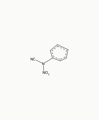 N#CN(c1ccccc1)[N+](=O)[O-]